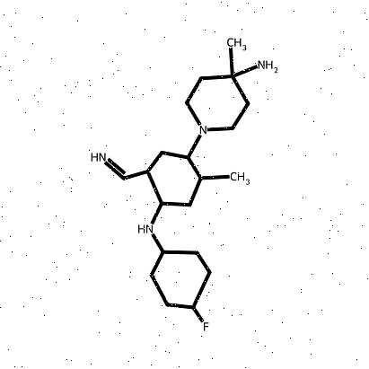 CC1CC(NC2CCC(F)CC2)C(C=N)CC1N1CCC(C)(N)CC1